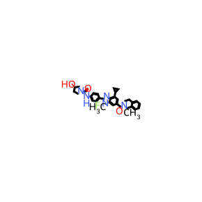 C[C@@H]1c2ccccc2CCN1C(=O)c1cc(C2CC2)c2nc(-c3ccc(NC(=O)N4CC[C@@H](O)C4)cc3F)n(C)c2c1